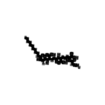 CCCCCCCCCCCC(=O)N[C@@H](C)C(=O)N[C@H](CCC(=O)NC(CCC=C(NC(=O)CN)C(=O)O)C(=O)O)C(=O)O